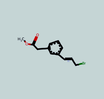 COC(=O)Cc1cccc(/C=C/CBr)c1